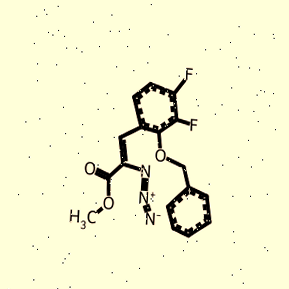 COC(=O)/C(=C/c1ccc(F)c(F)c1OCc1ccccc1)N=[N+]=[N-]